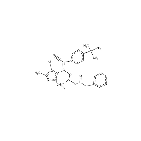 Cc1nn(C)c(/C(OC(C)OC(=O)Cc2ccccc2)=C(\C#N)c2ccc(C(C)(C)C)cc2)c1Cl